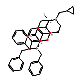 O=C1O[C@@]23CC[C@]1(N(Cc1ccccc1)Cc1ccccc1)C[C@@]21CCN(CC2CC2)[C@@H]3Cc2ccc(OCc3ccccc3)cc21